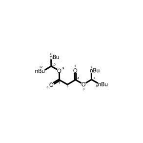 CCCCC(CCCC)OC(=O)CC(=O)OC(CCCC)CCCC